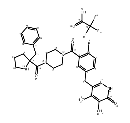 Cc1c(Cc2ccc(F)c(C(=O)N3CCN(C(=O)C4(Cc5ccccc5)CCCN4)CC3)c2)n[nH]c(=O)c1C.O=C(O)C(F)(F)F